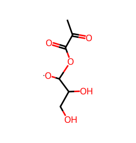 CC(=O)C(=O)OC([O])C(O)CO